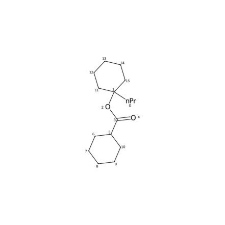 CCCC1(OC(=O)C2CCCCC2)CCCCC1